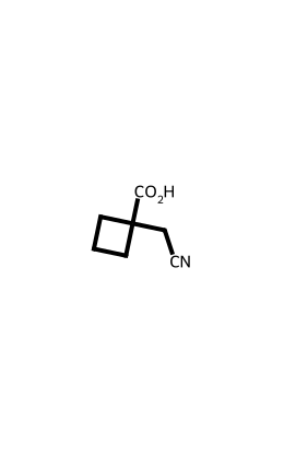 N#CCC1(C(=O)O)CCC1